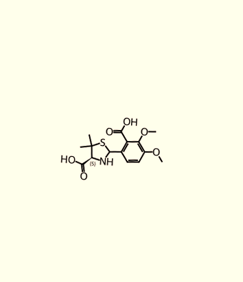 COc1ccc(C2N[C@@H](C(=O)O)C(C)(C)S2)c(C(=O)O)c1OC